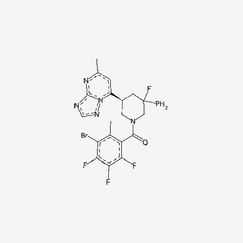 Cc1cc([C@@H]2CN(C(=O)c3c(C)c(Br)c(F)c(F)c3F)CC(F)(P)C2)n2ncnc2n1